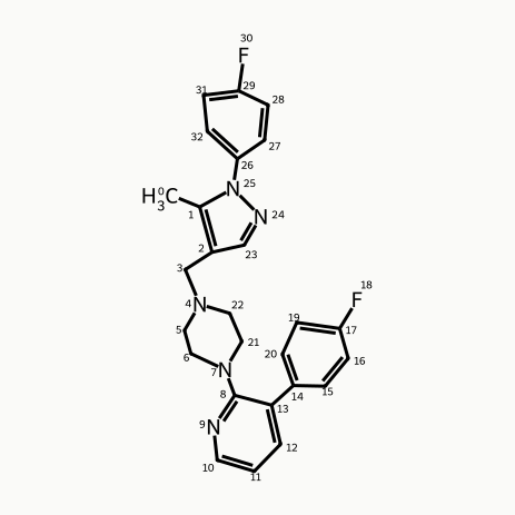 Cc1c(CN2CCN(c3ncccc3-c3ccc(F)cc3)CC2)cnn1-c1ccc(F)cc1